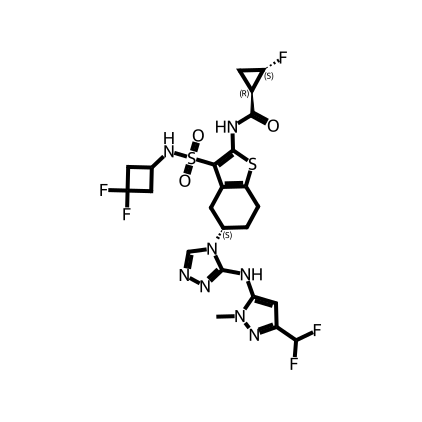 Cn1nc(C(F)F)cc1Nc1nncn1[C@H]1CCc2sc(NC(=O)[C@H]3C[C@@H]3F)c(S(=O)(=O)NC3CC(F)(F)C3)c2C1